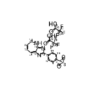 CS(=O)(=O)c1ccc(C2=NC3=CC=CCNC3=N2)cc1.O=C(O)C(F)(F)F.O=C(O)C(F)(F)F